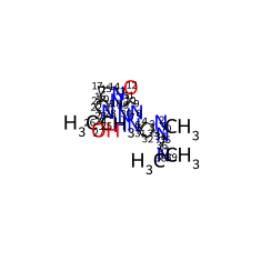 Cc1nc2cc(Nc3ncc4c(=O)n(CC5CC5)n(-c5cccc(C(C)(C)O)n5)c4n3)ccc2n1CCN(C)C